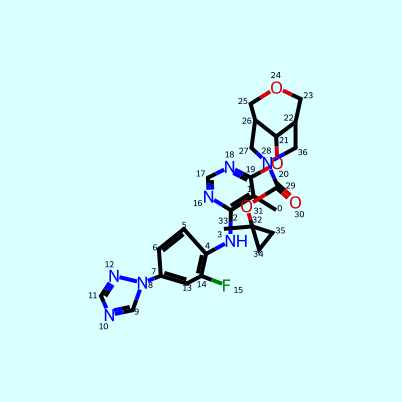 Cc1c(Nc2ccc(-n3cncn3)cc2F)ncnc1OC1C2COCC1CN(C(=O)OC1(C)CC1)C2